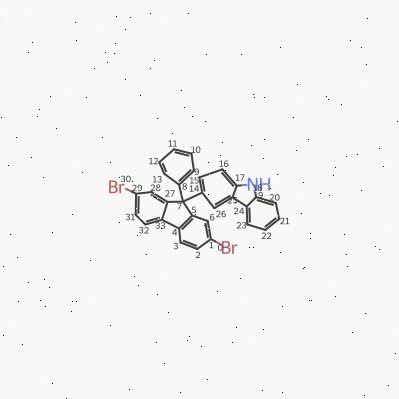 Brc1ccc2c(c1)C(c1ccccc1)(c1ccc3[nH]c4ccccc4c3c1)c1cc(Br)ccc1-2